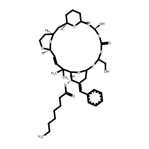 CCCCCCCC(=O)O[C@H]1/C(=C/c2ccccc2)CC2CC(CO)OC(=O)C[C@H](O)C[C@@H]3CCC[C@H](C[C@@H]4CCO[C@H](/C=C/C(C)(C)[C@]1(O)O2)O4)O3